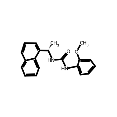 COc1ccccc1NC(=O)N[C@@H](C)c1cccc2ccccc12